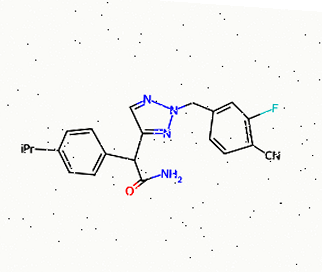 CC(C)c1ccc(C(C(N)=O)c2cnn(Cc3ccc(C#N)c(F)c3)n2)cc1